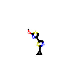 COc1nc(-c2[c]nc(C3CC3)s2)cs1